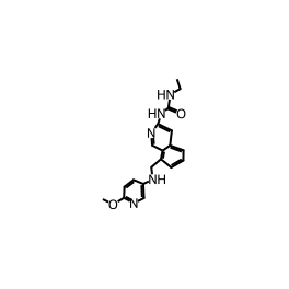 CCNC(=O)Nc1cc2cccc(CNc3ccc(OC)nc3)c2cn1